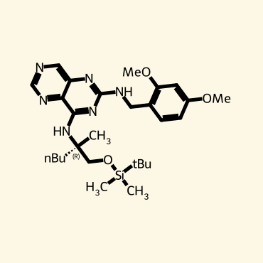 CCCC[C@](C)(CO[Si](C)(C)C(C)(C)C)Nc1nc(NCc2ccc(OC)cc2OC)nc2cncnc12